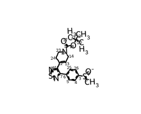 C[S+]([O-])c1ccc(-c2nsnc2C2=CCN(C(=O)OC(C)(C)C)CC2)cc1